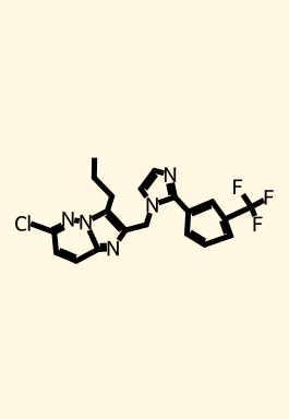 CCCc1c(Cn2ccnc2-c2cccc(C(F)(F)F)c2)nc2ccc(Cl)nn12